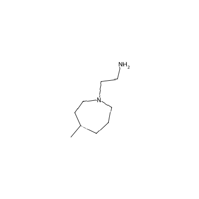 CC1CCCN(CCN)CC1